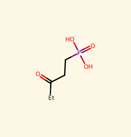 CCC(=O)CCP(=O)(O)O